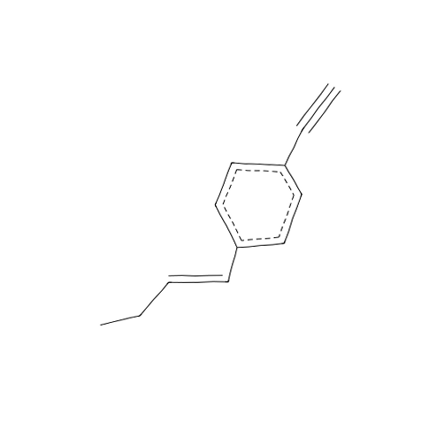 C#Cc1ccc(C=CCC)cc1